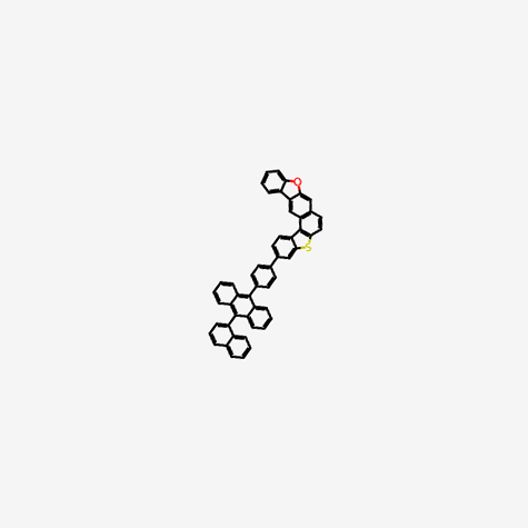 c1ccc2c(-c3c4ccccc4c(-c4ccc(-c5ccc6c(c5)sc5ccc7cc8oc9ccccc9c8cc7c56)cc4)c4ccccc34)cccc2c1